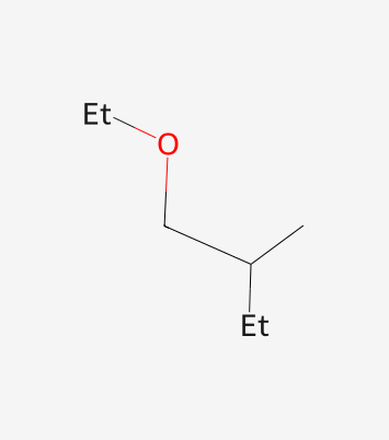 [CH2]CC(C)COCC